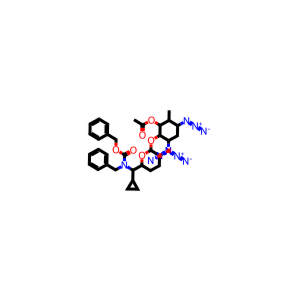 CC(=O)OC1C(C)C(N=[N+]=[N-])CC(N=[N+]=[N-])C1OC1OC(C(C2CC2)N(Cc2ccccc2)C(=O)OCc2ccccc2)CCC1N=[N+]=[N-]